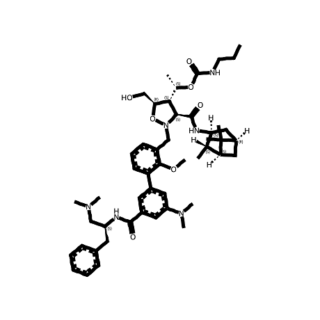 CCCNC(=O)O[C@@H](C)[C@H]1[C@H](CO)ON(Cc2cccc(-c3cc(C(=O)N[C@@H](Cc4ccccc4)CN(C)C)cc(N(C)C)c3)c2OC)[C@@H]1C(=O)N[C@H]1C[C@H]2C[C@@H]([C@@H]1C)C2(C)C